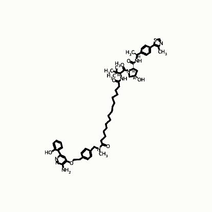 Cc1ncsc1-c1ccc([C@H](C)NC(=O)[C@@H]2C[C@@H](O)CN2C(=O)[C@@H](NC(=O)CCCCCCCCCCCCCCC(=O)N(C)Cc2ccc(CCOc3cc(-c4ccccc4O)nnc3N)cc2)C(C)(C)C)cc1